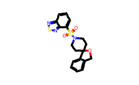 O=S(=O)(c1cccc2nsnc12)N1CCC2(CC1)OCc1ccccc12